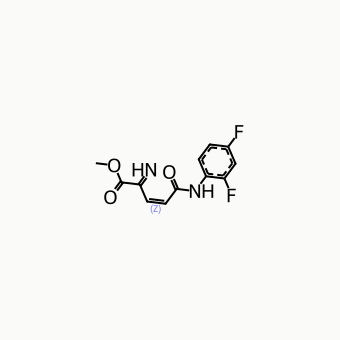 COC(=O)C(=N)/C=C\C(=O)Nc1ccc(F)cc1F